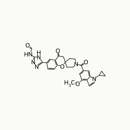 COc1cc(C(=O)N2CCC3(CC2)CC(=O)c2cc(-c4nnc(NC=O)[nH]4)ccc2O3)cc2c1ccn2C1CC1